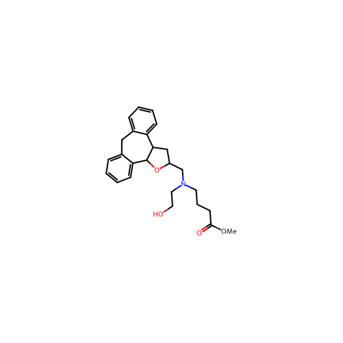 COC(=O)CCCN(CCO)CC1CC2c3ccccc3Cc3ccccc3C2O1